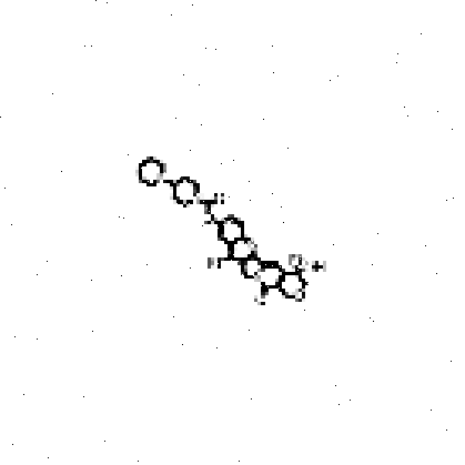 CCc1c2c(nc3ccc(OC(=O)N4CCC(N5CCCCC5)CC4)cc13)-c1cc3c(c(=O)n1C2)COCC3(O)CC